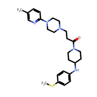 O=C(CCN1CCN(c2ccc(C(F)(F)F)cn2)CC1)N1CCC(Nc2ccc(SC(F)(F)F)cc2)CC1